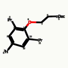 [3H]c1cc(C(C)C)c(OCCCCCCCCCCCC)c(C(C)C)c1